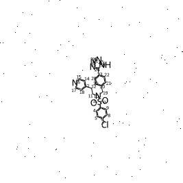 O=S(=O)(c1ccc(Cl)cc1)N(CCc1ccncc1)Cc1ccc(-c2nnn[nH]2)cc1